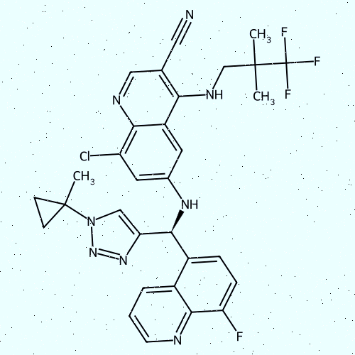 CC1(n2cc([C@@H](Nc3cc(Cl)c4ncc(C#N)c(NCC(C)(C)C(F)(F)F)c4c3)c3ccc(F)c4ncccc34)nn2)CC1